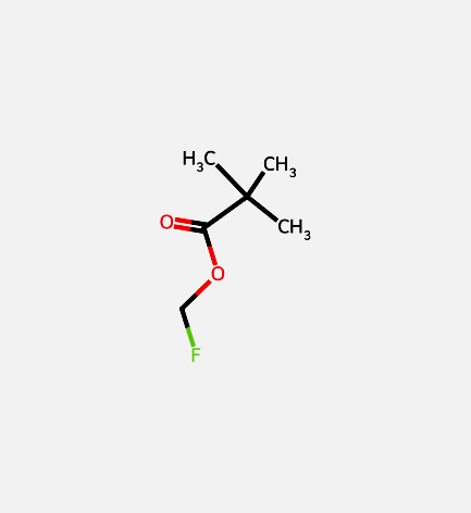 CC(C)(C)C(=O)OCF